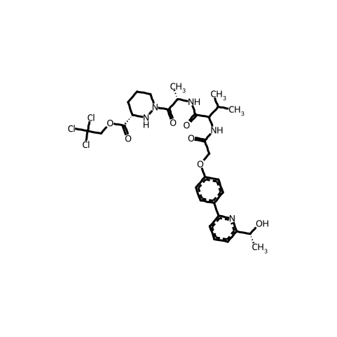 CC(C)C(NC(=O)COc1ccc(-c2cccc([C@@H](C)O)n2)cc1)C(=O)N[C@@H](C)C(=O)N1CCC[C@@H](C(=O)OCC(Cl)(Cl)Cl)N1